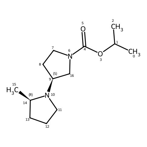 CC(C)OC(=O)N1CC[C@H](N2CCC[C@H]2C)C1